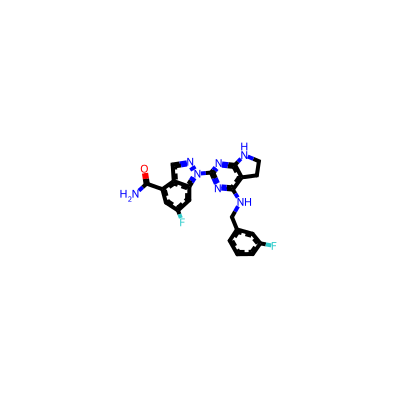 NC(=O)c1cc(F)cc2c1cnn2-c1nc2c(c(NCc3cccc(F)c3)n1)CCN2